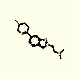 C[C@H]1CCC(c2ccc3cn(CCN(C)C)nc3c2)=NC1